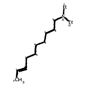 C/C=C/CCCCCCCN(CC)CC